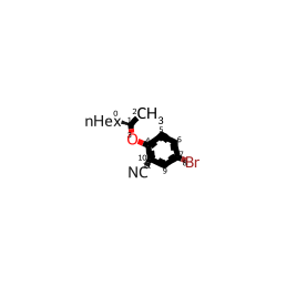 CCCCCC[C@@H](C)Oc1ccc(Br)cc1C#N